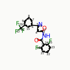 O=C(Nc1cc(-c2cccc(C(F)(F)F)c2)no1)c1c(F)cccc1F